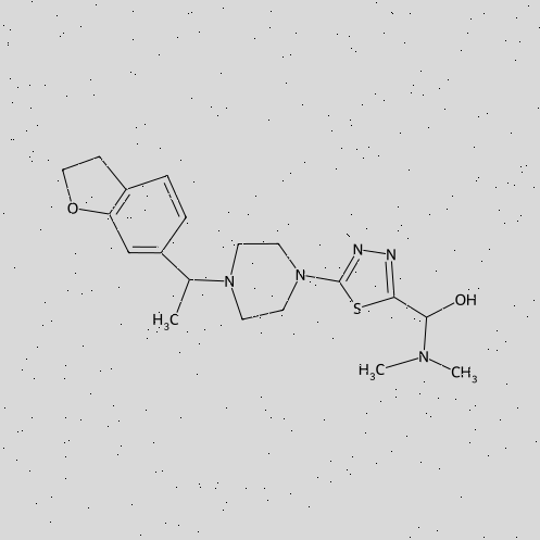 CC(c1ccc2c(c1)OCC2)N1CCN(c2nnc(C(O)N(C)C)s2)CC1